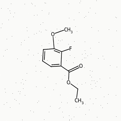 CCOC(=O)c1cccc(OC)c1F